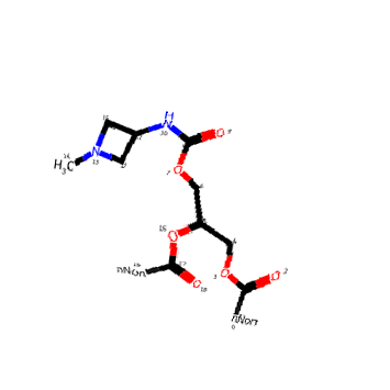 CCCCCCCCCC(=O)OCC(COC(=O)NC1CN(C)C1)OC(=O)CCCCCCCCC